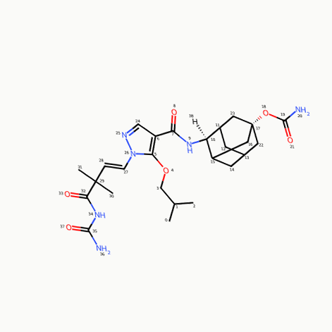 CC(C)COc1c(C(=O)N[C@H]2C3CC4CC2C[C@](OC(N)=O)(C4)C3)cnn1/C=C/C(C)(C)C(=O)NC(N)=O